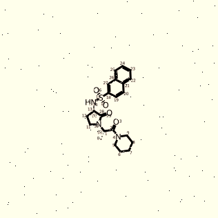 C[C@@H](C(=O)N1CCCCC1)N1CC[C@H](NS(=O)(=O)c2ccc3ccccc3c2)C1=O